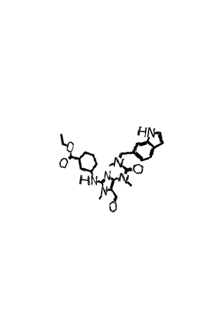 CCOC(=O)C1CCCC(Nc2nc(N(C)C(=O)N(C)Cc3ccc4cc[nH]c4c3)c(C=O)n2C)C1